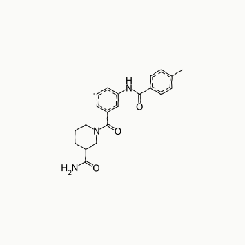 Cc1ccc(C(=O)Nc2c[c]cc(C(=O)N3CCCC(C(N)=O)C3)c2)cc1